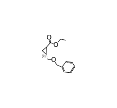 CCOC(=O)C1C[C@H]1COCc1ccccc1